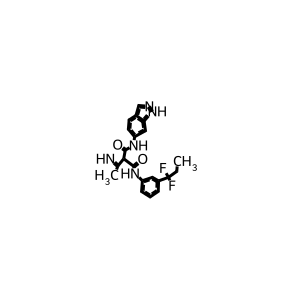 CCC(F)(F)c1cccc(NC(=O)C(C(C)=N)C(=O)Nc2ccc3cn[nH]c3c2)c1